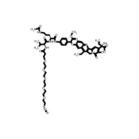 CCc1c2c(nc3ccc(OC(C(=O)OC)c4ccc(NC(=O)[C@H](CCCNC(N)=O)NC(=O)[C@@H](NC(=O)CCOCCOCCOCCOCCOCCN=[N+]=[N-])C(C)C)cc4)cc13)-c1cc3c(c(=O)n1C2)COC(=O)[C@]3(O)CC